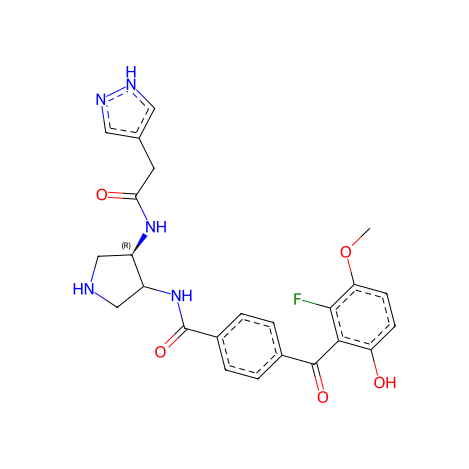 COc1ccc(O)c(C(=O)c2ccc(C(=O)NC3CNC[C@H]3NC(=O)Cc3cn[nH]c3)cc2)c1F